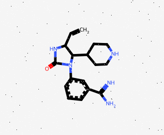 C=CC1NC(=O)N(c2cccc(C(=N)N)c2)C1C1CCNCC1